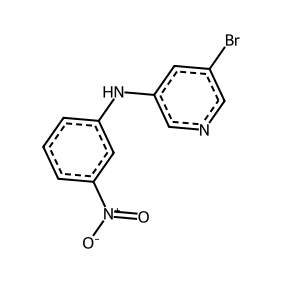 O=[N+]([O-])c1cccc(Nc2cncc(Br)c2)c1